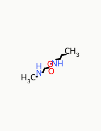 CCCCCNOC(=O)CCNCC